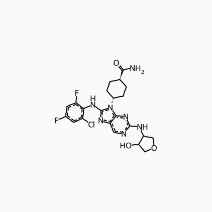 NC(=O)[C@H]1CC[C@H](n2c(Nc3c(F)cc(F)cc3Cl)nc3cnc(NC4COCC4O)nc32)CC1